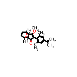 C=C(C)c1cc(C)c(C2=C(OC)[C@H]3[C@@H](C2=O)[C@@H]2CC[C@H]3O2)c(C)c1